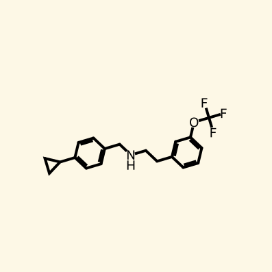 FC(F)(F)Oc1cccc(CCNCc2ccc(C3CC3)cc2)c1